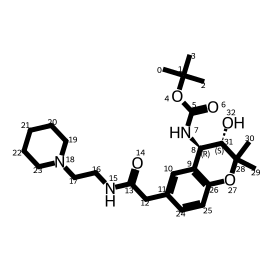 CC(C)(C)OC(=O)N[C@@H]1c2cc(CC(=O)NCCN3CCCCC3)ccc2OC(C)(C)[C@H]1O